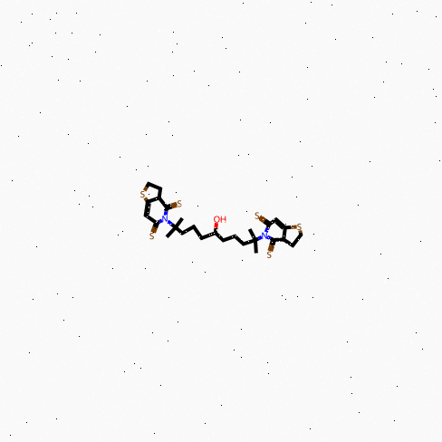 CC(C)(CCCC(O)CCCC(C)(C)N1C(=S)C=C2SCCC2C1=S)N1C(=S)C=C2SCCC2C1=S